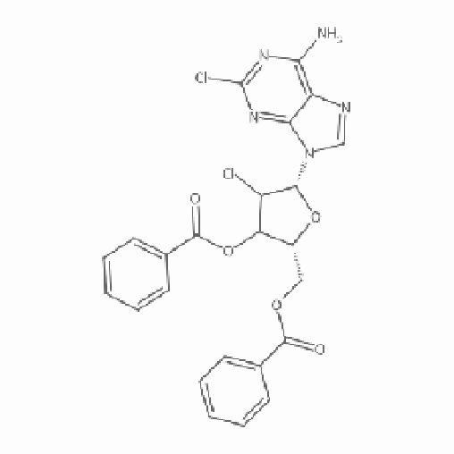 Nc1nc(Cl)nc2c1ncn2[C@@H]1O[C@H](COC(=O)c2ccccc2)C(OC(=O)c2ccccc2)C1Cl